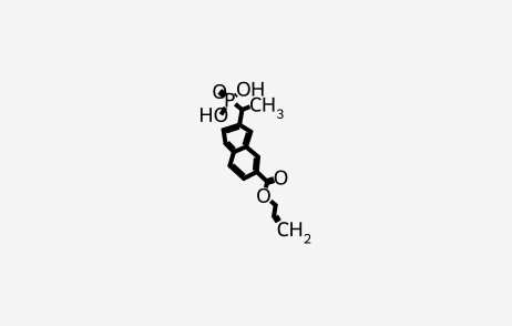 C=CCOC(=O)c1ccc2ccc(C(C)P(=O)(O)O)cc2c1